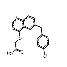 O=C(O)COc1ccnc2ccc(Cc3ccc(Cl)cc3)cc12